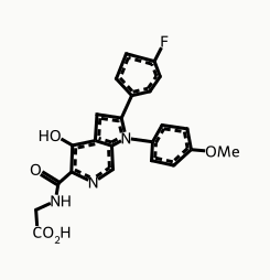 COc1ccc(-n2c(-c3ccc(F)cc3)cc3c(O)c(C(=O)NCC(=O)O)ncc32)cc1